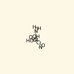 CN(C)C(=O)c1ccc(OCCCCN2C[C@H]3C[C@H]3C2)cc1.O=C(O)C(=O)O